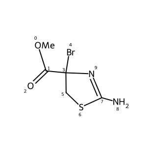 COC(=O)C1(Br)CSC(N)=N1